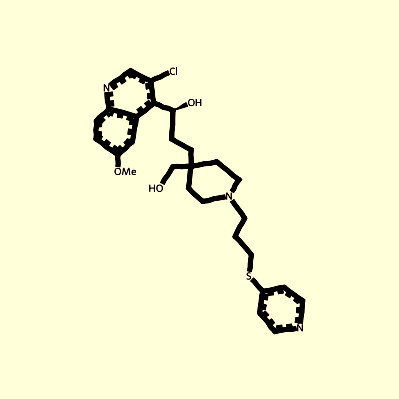 COc1ccc2ncc(Cl)c([C@@H](O)CCC3(CO)CCN(CCCSc4ccncc4)CC3)c2c1